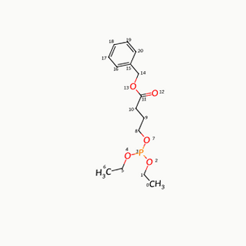 CCOP(OCC)OCCCC(=O)OCc1ccccc1